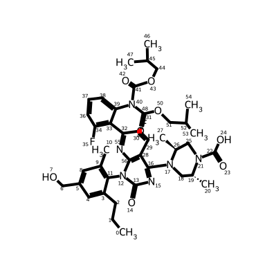 CCCc1cc(CO)cc(C)c1-n1c(=O)nc(N2C[C@@H](C)N(C(=O)O)C[C@@H]2C)c2cc(F)c(-c3c(F)cccc3N(C(=O)OCC(C)C)C(=O)OCC(C)C)nc21